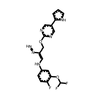 N=N/C(=C\Nc1ccc(F)c(OC(F)F)c1)COc1ncc(-c2ccc[nH]2)cn1